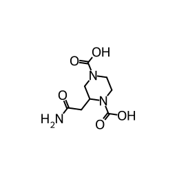 NC(=O)CC1CN(C(=O)O)CCN1C(=O)O